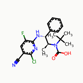 C[C@@H]([C@H](Nc1nc(Cl)c(C#N)cc1F)c1ccccc1)N(C(=O)O)C(C)(C)C